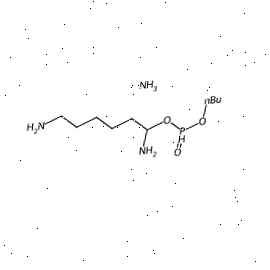 CCCCO[PH](=O)OC(N)CCCCCN.N